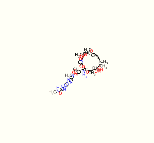 CCNC(=O)c1cnc(N2CCN(c3ncc(CN(C)C(=O)O[C@@H]4CC[C@@H](C[C@@H](N)[C@@H]5CC(=O)[C@H](C)/C=C(\C)[C@@H](O)[C@@H](O)C(=O)[C@H](C)C[C@H](C)/C=C/C=C/C=C(\C)[C@@H](OC)C[C@@H]6CC[C@@H](C)[C@@](O)(O6)C(=O)C(=O)N6CCCC[C@H]6C(=O)O5)C[C@H]4OC)cn3)CC2)nc1